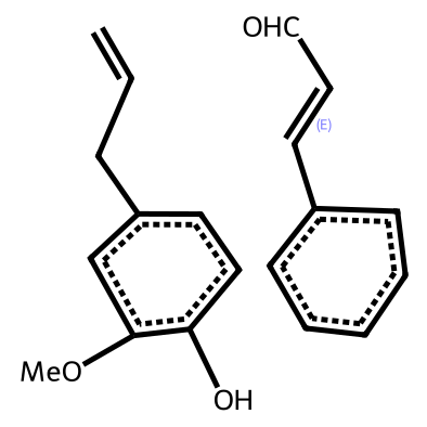 C=CCc1ccc(O)c(OC)c1.O=C/C=C/c1ccccc1